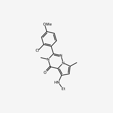 CCNc1cc(C)n2nc(-c3ccc(OC)cc3Cl)n(C)c(=O)c12